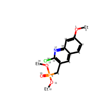 CCOc1ccc2cc(CP(=O)(OCC)OCC)c(Cl)nc2c1